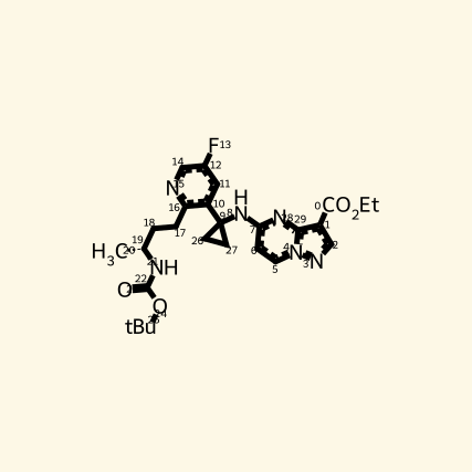 CCOC(=O)c1cnn2ccc(NC3(c4cc(F)cnc4CC[C@@H](C)NC(=O)OC(C)(C)C)CC3)nc12